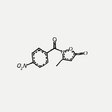 Cc1cc(=O)on1C(=O)c1ccc([N+](=O)[O-])cc1